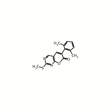 CSc1ncc2cc(-c3c(C)cccc3C)c(=O)oc2n1